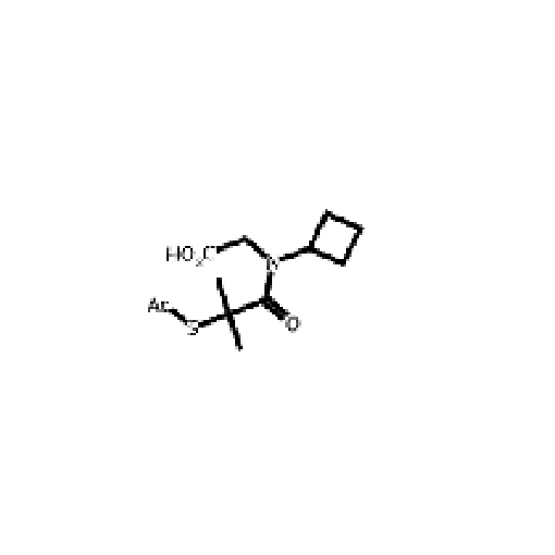 CC(=O)SC(C)(C)C(=O)N(CC(=O)O)C1CCC1